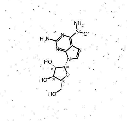 Nc1nc([S+](N)[O-])c2ncn([C@@H]3O[C@H](CO)[C@@H](O)[C@@H]3O)c2n1